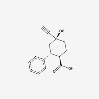 C#C[C@]1(O)CC[C@@H](C(=O)O)[C@H](c2ccccc2)C1